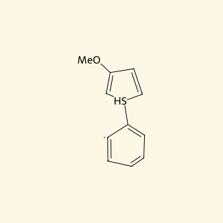 COC1=C[SH](c2[c]cccc2)C=C1